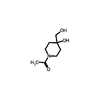 CC(=O)N1CCC(O)(CO)CC1